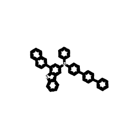 c1ccc(-c2ccc(-c3ccc(N(c4ccccc4)c4cc(-c5ccc6ccccc6c5)c5sc6ccccc6c5c4)cc3)cc2)cc1